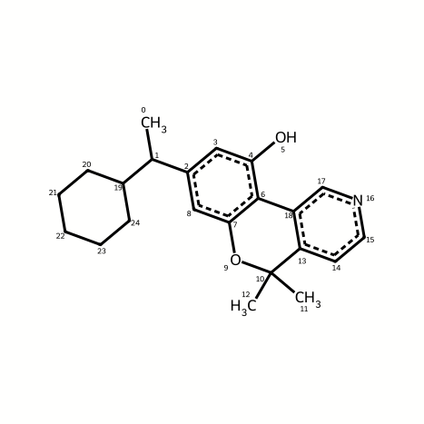 CC(c1cc(O)c2c(c1)OC(C)(C)c1ccncc1-2)C1CCCCC1